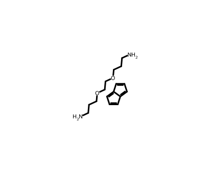 C1=CC2=CC=CC2=C1.NCCCOCCOCCCN